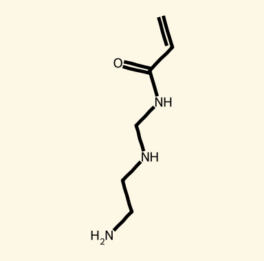 C=CC(=O)NCNCCN